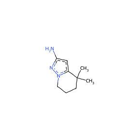 CC1(C)CCCn2nc(N)cc21